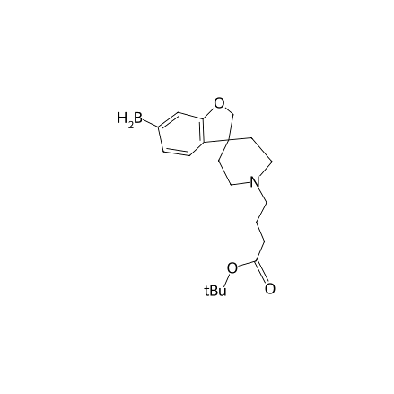 Bc1ccc2c(c1)OCC21CCN(CCCC(=O)OC(C)(C)C)CC1